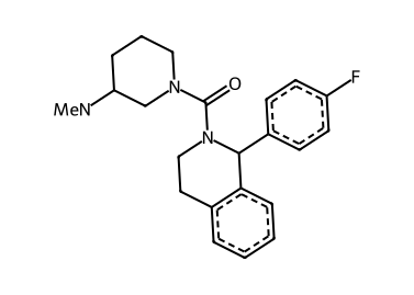 CNC1CCCN(C(=O)N2CCc3ccccc3C2c2ccc(F)cc2)C1